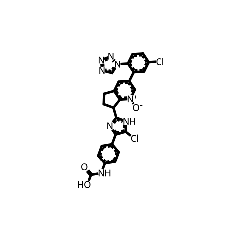 O=C(O)Nc1ccc(-c2nc(C3CCc4cc(-c5cc(Cl)ccc5-n5cnnn5)c[n+]([O-])c43)[nH]c2Cl)cc1